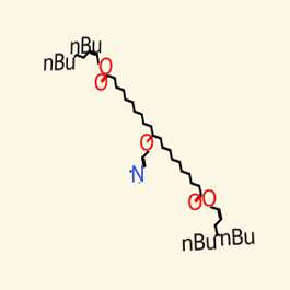 CCCCC(C/C=C\COC(=O)CCCCCCCCCC(CCCCCCCCCC(=O)OC/C=C\CC(CCCC)CCCC)OC/C=C/N(C)C)CCCC